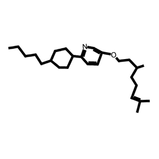 CCCCCC1CCC(c2ccc(OCCC(C)CCC=C(C)C)cn2)CC1